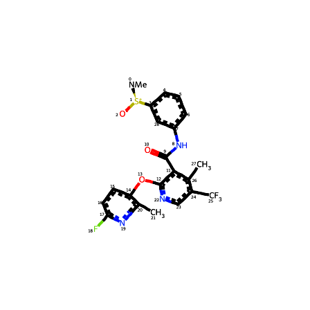 CN[S@+]([O-])c1cccc(NC(=O)c2c(Oc3ccc(F)nc3C)ncc(C(F)(F)F)c2C)c1